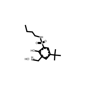 CCCCNS(=O)(=O)c1cc(C(C)(C)C)cc(CN)c1O.Cl